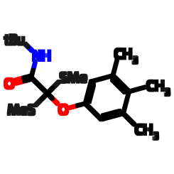 CSC(Oc1cc(C)c(C)c(C)c1)(SC)C(=O)NC(C)(C)C